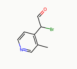 Cc1cnccc1C(Br)C=O